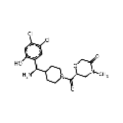 CN1C[C@@H](C(=O)N2CCC([C@@H](N)c3cc(Cl)c(Cl)cc3O)CC2)OCC1=O